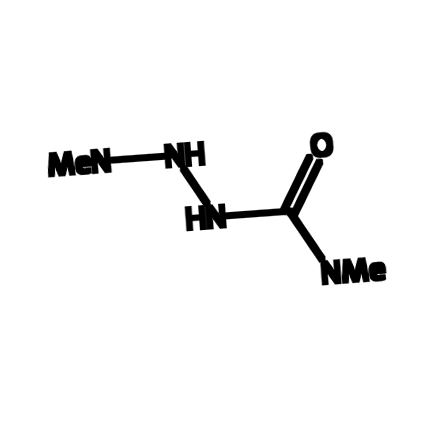 CNNNC(=O)NC